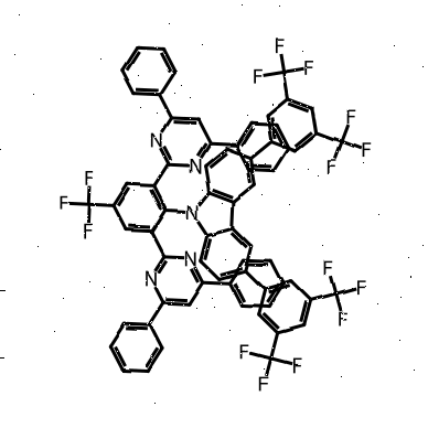 FC(F)(F)c1cc(-c2ccc3c(c2)c2cc(-c4cc(C(F)(F)F)cc(C(F)(F)F)c4)ccc2n3-c2c(-c3nc(-c4ccccc4)cc(-c4ccccc4)n3)cc(C(F)(F)F)cc2-c2nc(-c3ccccc3)cc(-c3ccccc3)n2)cc(C(F)(F)F)c1